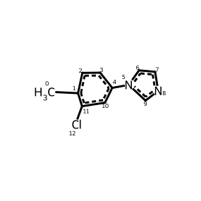 Cc1ccc(-n2ccnc2)cc1Cl